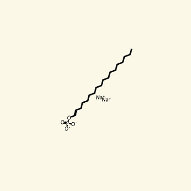 CCCCCCCCCCCCCCCCC=COP(=O)([O-])[O-].[Na+].[Na+]